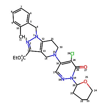 CCOC(=O)c1nn(Cc2ccccc2C)c2c1CN(c1cnn(C3CCCCO3)c(=O)c1Cl)CC2